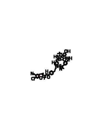 Cc1ncsc1-c1ccc([C@H](C)NC(=O)C2C[C@@H](O)CN2C(=O)[C@@H](NC(=O)CN2C[C@@H]3C[C@H]2CN3CCCc2ccc(C(=O)N[C@H]3C(C)(C)C(Oc4ccc(C#N)c(Cl)c4)C34CC4C)cc2)C(C)(C)C)cc1